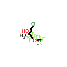 CC(O)(CCCCl)C(F)(F)C(F)(F)OC(F)(Cl)C(F)(F)Cl